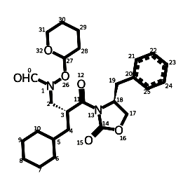 O=CN(C[C@@H](CC1CCCCC1)C(=O)N1C(=O)OC[C@@H]1Cc1ccccc1)OC1CCCCO1